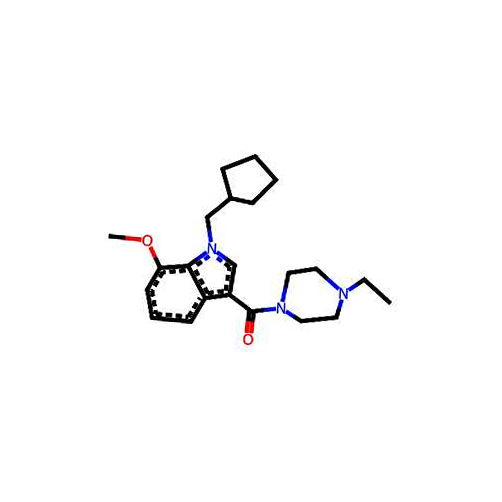 CCN1CCN(C(=O)c2cn(CC3CCCC3)c3c(OC)cccc23)CC1